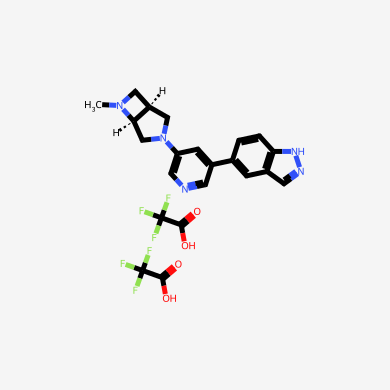 CN1C[C@H]2CN(c3cncc(-c4ccc5[nH]ncc5c4)c3)C[C@H]21.O=C(O)C(F)(F)F.O=C(O)C(F)(F)F